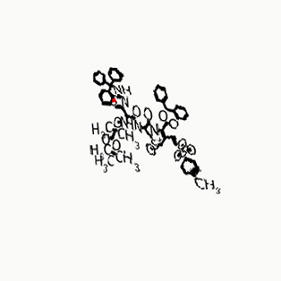 Cc1ccc(S(=O)(=O)OC=CC2=C(C(=O)OC(c3ccccc3)c3ccccc3)N3C(=O)C(NC(=O)C(=NOC(C)(C)C(=O)OC(C)(C)C)c4csc(NC(c5ccccc5)(c5ccccc5)c5ccccc5)n4)C3[S+]([O-])C2)cc1